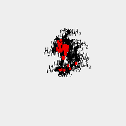 CC(C)[C@H](NC(=O)[C@H](CO)NC(=O)[C@H](CCCNC(=N)N)NC(=O)[C@H](C)NC(=O)[C@H](CCCNC(=N)N)NC(=O)[C@H](CCCNC(=N)N)NC(=O)[C@H](Cc1c[nH]cn1)NC(=O)[C@H](CO)NC(=O)[C@H](CCCCN)NC(=O)[C@@H](NC(=O)[C@H](CCC(N)=O)NC(=O)[C@@H](NC(=O)[C@H](CCC(N)=O)NC(=O)[C@H](Cc1ccc(O)cc1)NC(=O)[C@@H](N)CO)[C@@H](C)O)[C@@H](C)O)C(=O)N[C@@H](C)C(=O)N[C@@H](CO)C(=O)N[C@@H](CCC(N)=O)C(N)=O